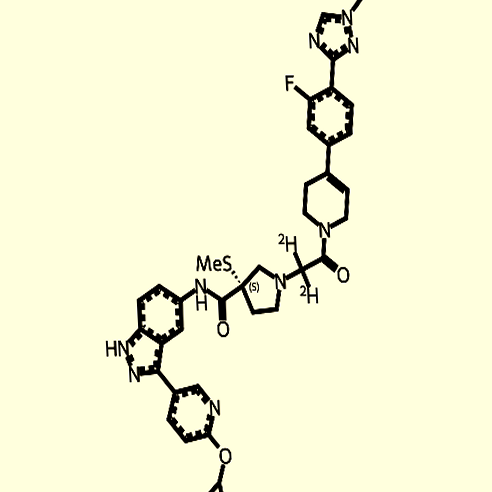 [2H]C([2H])(C(=O)N1CC=C(c2ccc(-c3ncn(C)n3)c(F)c2)CC1)N1CC[C@@](SC)(C(=O)Nc2ccc3[nH]nc(-c4ccc(OC5CC5)nc4)c3c2)C1